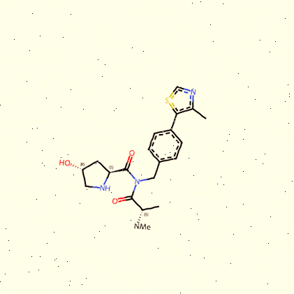 CN[C@@H](C)C(=O)N(Cc1ccc(-c2scnc2C)cc1)C(=O)[C@@H]1C[C@@H](O)CN1